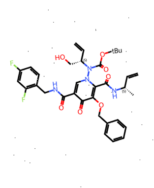 C=C[C@H](C)NC(=O)c1c(OCc2ccccc2)c(=O)c(C(=O)NCc2ccc(F)cc2F)cn1N(C(=O)OC(C)(C)C)[C@@H](C=C)CO